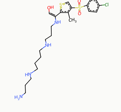 Cc1c(S(=O)(=O)c2ccc(Cl)cc2)csc1/C(=C\O)NCCCNCCCCNCCCN